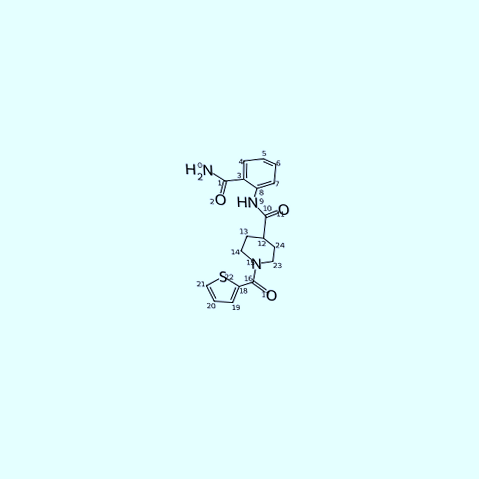 NC(=O)c1ccccc1NC(=O)C1CCN(C(=O)c2cccs2)CC1